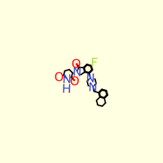 O=C1CCC(N2Cc3c(cc(F)cc3N3CCN(Cc4cccc5c4CCCC5)CC3)C2=O)C(=O)N1